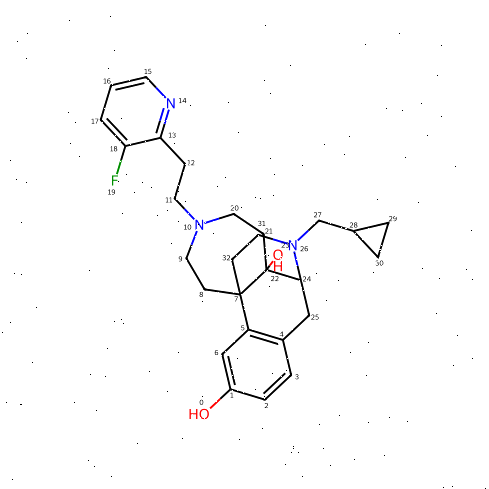 Oc1ccc2c(c1)C13CCN(CCc4ncccc4F)CCC1(O)C(C2)N(CC1CC1)CC3